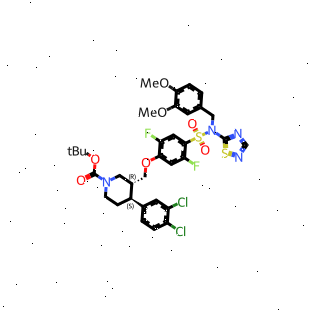 COc1ccc(CN(c2ncns2)S(=O)(=O)c2cc(F)c(OC[C@H]3CN(C(=O)OC(C)(C)C)CC[C@@H]3c3ccc(Cl)c(Cl)c3)cc2F)cc1OC